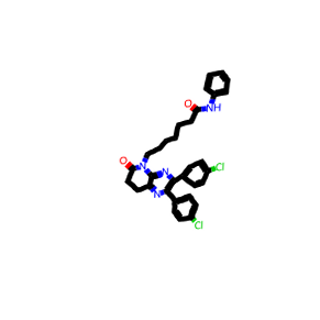 O=C(CCCCCCN1C(=O)CCc2nc(-c3ccc(Cl)cc3)c(-c3ccc(Cl)cc3)nc21)Nc1ccccc1